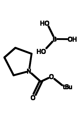 CC(C)(C)OC(=O)N1CCCC1.OB(O)O